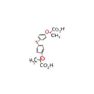 CC(Oc1ccc(Sc2ccc(OC(C)C(=O)O)cc2)cc1)C(=O)O